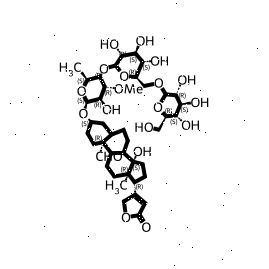 CO[C@@H]1[C@@H](O)[C@@H](O[C@H]2CC[C@@]3(C=O)C(CCC4C3CC[C@]3(C)[C@@H](C5=CC(=O)OC5)CC[C@]43O)C2)O[C@@H](C)[C@H]1OC1O[C@H](COC2O[C@H](CO)[C@@H](O)[C@H](O)[C@H]2O)[C@@H](O)[C@H](O)[C@H]1O